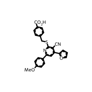 COc1ccc(-c2cc(-c3ccco3)c(C#N)c(SCc3ccc(C(=O)O)cc3)n2)cc1